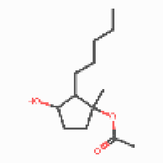 CCCCCC1C(O)CCC1(C)OC(C)=O